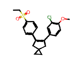 CCS(=O)(=O)c1ccc(C2=C(c3ccc(OC)c(Cl)c3)CC3(CC3)C2)cc1